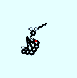 CCCCCCOc1ccc(Cn2c(=O)c3c4c5c6cc7ccc(cc8c(=O)c9c(cc%10ccc%11cc(c5c5c%11c%10c9c35)C6)C8)c2c74)cc1OC